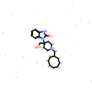 O=c1[nH]c2ccccc2n1C1(CO)CCN(CC2CCCCCCC2)CC1